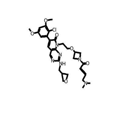 COc1cc(OC)c(Cl)c(-c2cc3cnc(NCC4COC4)nc3n(CCOC3CN(C(=O)C=CCN(C)C)C3)c2=O)c1